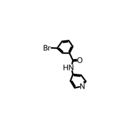 O=C(Nc1ccncc1)c1cccc(Br)c1